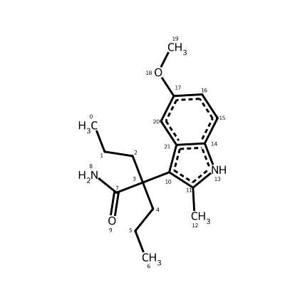 CCCC(CCC)(C(N)=O)c1c(C)[nH]c2ccc(OC)cc12